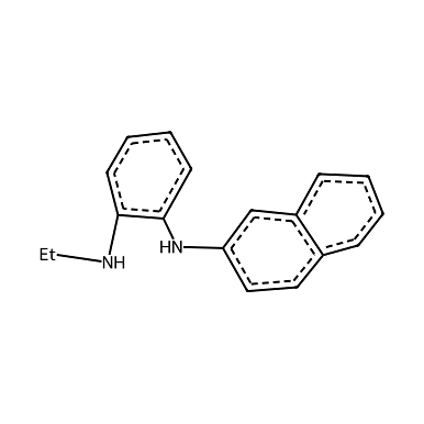 CCNc1ccccc1Nc1ccc2ccccc2c1